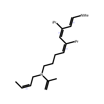 C=C(C)N(C/C=C\C)CCC\C=C(/C=C(\C=C\NC)C(C)C)C(C)C